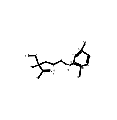 CC(=N)C(C)(CI)CCCOc1cc(C)ccc1C